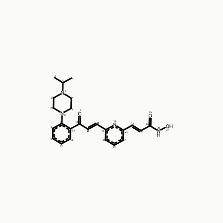 CC(C)N1CCN(c2ccccc2C(=O)C=Cc2cccc(C=CC(=O)NO)n2)CC1